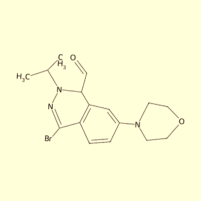 CC(C)N1N=C(Br)c2ccc(N3CCOCC3)cc2C1C=O